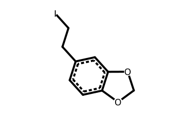 ICCc1ccc2c(c1)OCO2